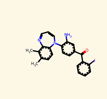 Cc1ccc2c(c1C)N=CC=CN2c1ccc(C(=O)c2ccccc2I)cc1N